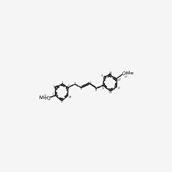 COc1ccc(CC=CCc2ccc(OC)cc2)cc1